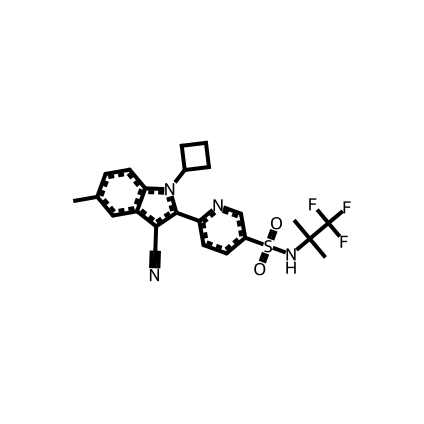 Cc1ccc2c(c1)c(C#N)c(-c1ccc(S(=O)(=O)NC(C)(C)C(F)(F)F)cn1)n2C1CCC1